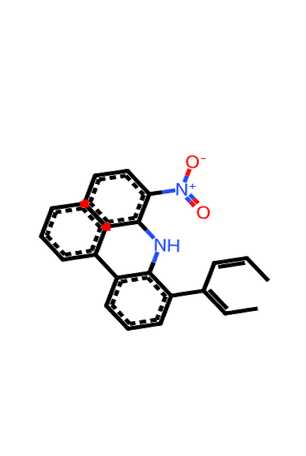 C/C=C\C(=C/C)c1cccc(-c2ccccc2)c1Nc1ccccc1[N+](=O)[O-]